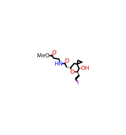 COC(=O)CCNC(=O)C[C@@H]1CC2(CC2)[C@H](O)[C@@H](/C=C/I)O1